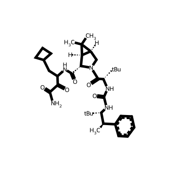 C[C@H](c1ccccc1)[C@@H](NC(=O)N[C@H](C(=O)N1C[C@H]2[C@@H]([C@H]1C(=O)NC(CC1CCC1)C(=O)C(N)=O)C2(C)C)C(C)(C)C)C(C)(C)C